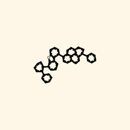 c1ccc(-c2ccccc2-c2cccc3c2oc2cccc(-c4ccc5ccc6c(-c7ccccc7)ccc7ccc4c5c76)c23)cc1